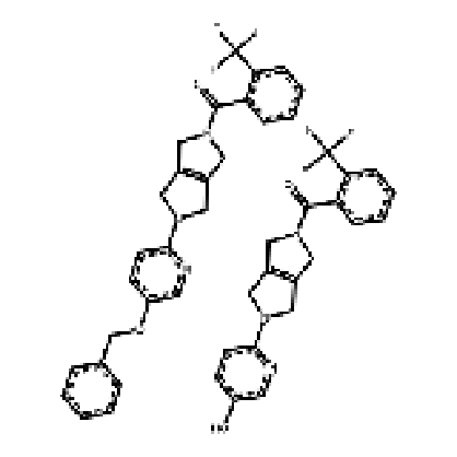 O=C(c1ccccc1C(F)(F)F)N1CC2=C(C1)CN(c1ccc(O)cn1)C2.O=C(c1ccccc1C(F)(F)F)N1CC2=C(C1)CN(c1ccc(OCc3ccccc3)cn1)C2